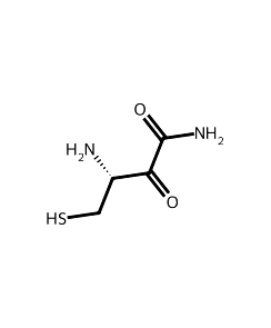 NC(=O)C(=O)[C@@H](N)CS